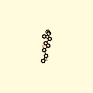 C1=C2CC3CC1C1(c4ccccc4-c4c(-c5ccc6c7c(cccc57)-c5cc(-c7ccc8sc9ccccc9c8c7)ccc5O6)cccc41)C(C2)C3